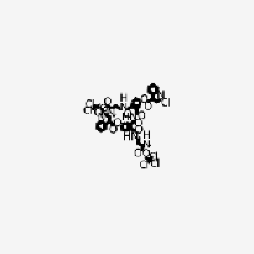 CNC(CCNC(=O)C1C2CC(OC(=O)c3cc(Cl)nc4ccccc34)C(C2)C1C(=O)NC(=O)C1C2CC(CC2OC(=O)c2cc(Cl)nc3ccccc23)C1C(=O)NCCC(NC)C(=O)OCC(Cl)(Cl)Cl)C(=O)OCC(Cl)(Cl)Cl